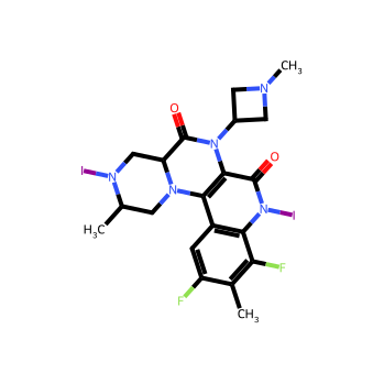 Cc1c(F)cc2c3c(c(=O)n(I)c2c1F)N(C1CN(C)C1)C(=O)C1CN(I)C(C)CN31